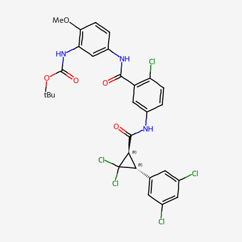 COc1ccc(NC(=O)c2cc(NC(=O)[C@H]3[C@H](c4cc(Cl)cc(Cl)c4)C3(Cl)Cl)ccc2Cl)cc1NC(=O)OC(C)(C)C